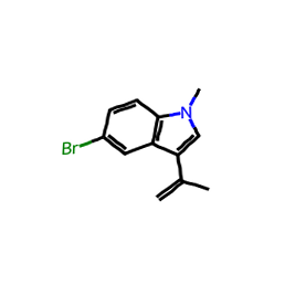 C=C(C)c1cn(C)c2ccc(Br)cc12